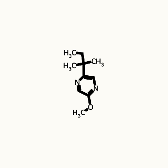 CCC(C)(C)c1cnc(OC)cn1